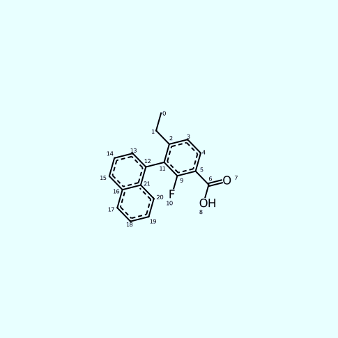 CCc1ccc(C(=O)O)c(F)c1-c1cccc2ccccc12